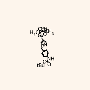 CC(C)(C)OC(=O)Nc1ccc(Cn2cc(B3OC(C)(C)C(C)(C)O3)cn2)cc1